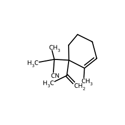 C=C(C)C1(C(C)(C)C#N)CCCC=C1C